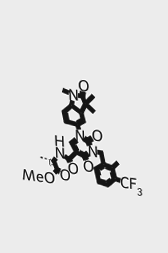 COC(=O)[C@H](C)NC(=O)c1cn(C2=CC3C(C=C2)N(C)C(=O)C3(C)C)c(=O)n(Cc2cccc(C(F)(F)F)c2C)c1=O